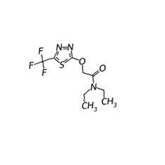 CCN(CC)C(=O)COc1nnc(C(F)(F)F)s1